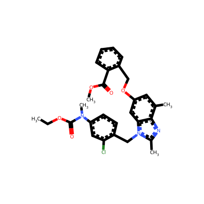 CCOC(=O)N(C)c1ccc(Cn2c(C)nc3c(C)cc(OCc4ccccc4C(=O)OC)cc32)c(Cl)c1